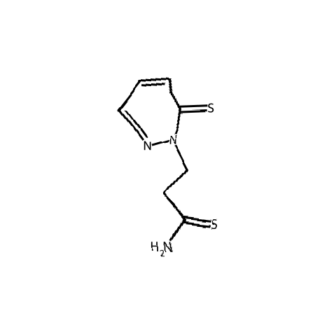 NC(=S)CCn1ncccc1=S